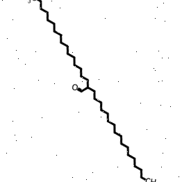 CCCCCCCCCCCCCCCCCC(C=O)CCCCCCCCCCCCCCCC